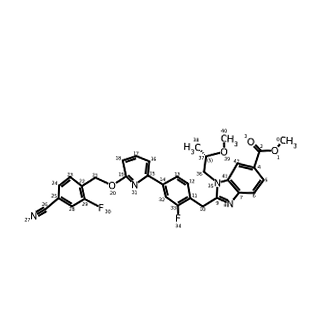 COC(=O)c1ccc2nc(Cc3ccc(-c4cccc(OCc5ccc(C#N)cc5F)n4)cc3F)n(C[C@H](C)OC)c2c1